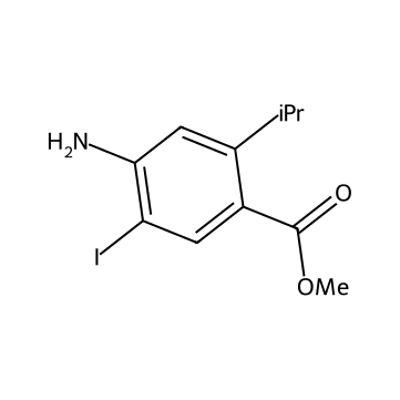 COC(=O)c1cc(I)c(N)cc1C(C)C